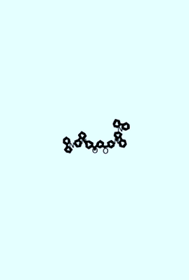 O=C(c1ccc(-n2c3ccccc3c3cc(-n4c5ccccc5c5ccccc54)ccc32)cc1)c1cccc(C(=O)c2ccc(-n3c4ccccc4c4cc(-n5c6ccccc6c6ccccc65)ccc43)cc2)c1